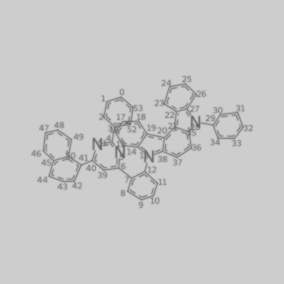 c1ccc(-c2nc(-c3ccccc3-n3c4ccccc4c4c5c6ccccc6n(-c6ccccc6)c5ccc43)cc(-c3cccc4ccccc34)n2)cc1